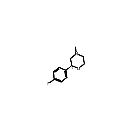 CN1CCO[C@@H](c2ccc(F)cc2)C1